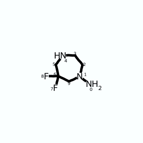 NN1CCNCC(F)(F)C1